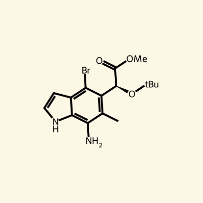 COC(=O)[C@@H](OC(C)(C)C)c1c(C)c(N)c2[nH]ccc2c1Br